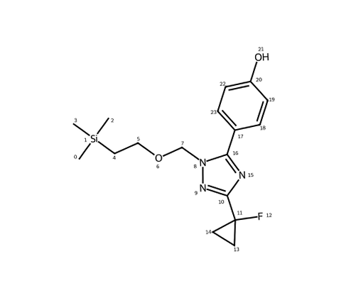 C[Si](C)(C)CCOCn1nc(C2(F)CC2)nc1-c1ccc(O)cc1